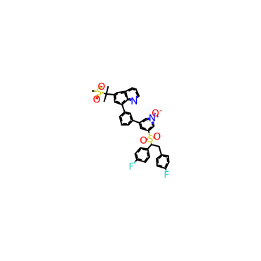 CC(C)(c1cc(-c2cccc(-c3cc(S(=O)(=O)C(Cc4ccc(F)cc4)c4ccc(F)cc4)c[n+]([O-])c3)c2)c2ncccc2c1)S(C)(=O)=O